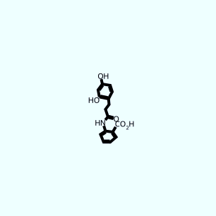 O=C(CCc1ccc(O)cc1O)Nc1ccccc1C(=O)O